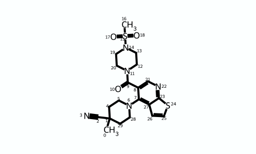 CC1(C#N)CCN(c2c(C(=O)N3CCN(S(C)(=O)=O)CC3)cnc3sccc23)CC1